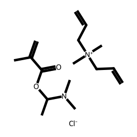 C=C(C)C(=O)OC(C)N(C)C.C=CC[N+](C)(C)CC=C.[Cl-]